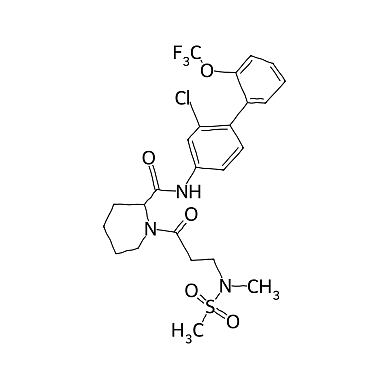 CN(CCC(=O)N1CCCCC1C(=O)Nc1ccc(-c2ccccc2OC(F)(F)F)c(Cl)c1)S(C)(=O)=O